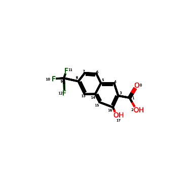 O=C(O)c1cc2ccc(C(F)(F)F)cc2cc1O